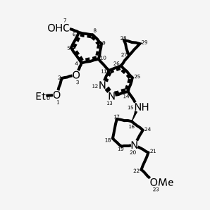 CCOCOc1cc(C=O)ccc1-c1nnc(N[C@@H]2CCCN(CCOC)C2)cc1C1CC1